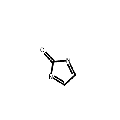 O=C1N=CC=N1